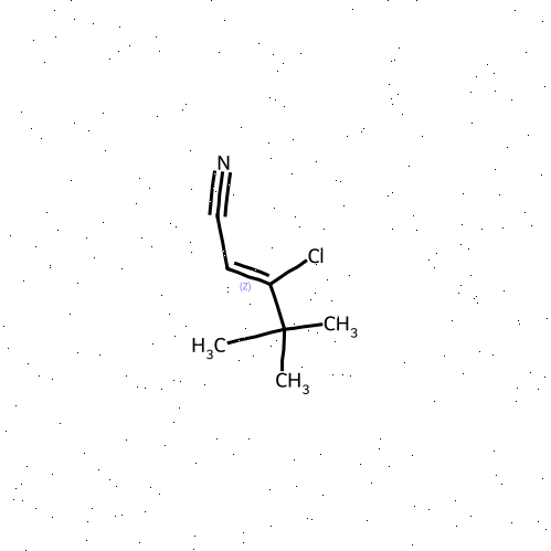 CC(C)(C)/C(Cl)=C/C#N